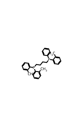 Cc1ccccc1P(CCCCP(c1ccccc1C)c1ccccc1C)c1ccccc1